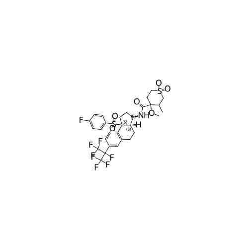 COC1(C(=O)N[C@@H]2CC[C@@]3(S(=O)(=O)c4ccc(F)cc4)c4ccc(C(F)(C(F)(F)F)C(F)(F)F)cc4CC[C@@H]23)CCS(=O)(=O)CC1C